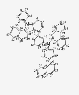 c1ccc(-n2c3cccc(-c4cccc(N(c5ccc(-c6cccc7ccccc67)cc5)c5cc6ccccc6c6ccccc56)c4)c3c3ccc4ccccc4c32)cc1